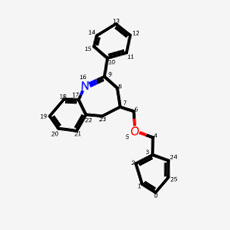 c1ccc(COCC2CC(c3ccccc3)=Nc3ccccc3C2)cc1